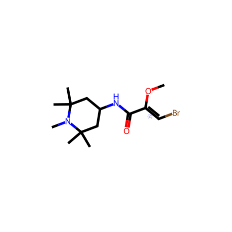 CO/C(=C\Br)C(=O)NC1CC(C)(C)N(C)C(C)(C)C1